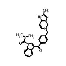 Cc1nc2c([nH]1)C=CN(Cc1ccc(C(=O)c3cn(C(=O)N(C)C)c4ccccc34)cc1)C2